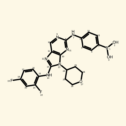 OB(O)c1ccc(Nc2ncc3nc(Nc4ccc(F)cc4F)n(C4CCOCC4)c3n2)cc1